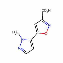 Cn1nccc1-c1cc(C(=O)O)no1